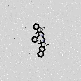 CN1/C(=C/C=C/C2=[N+](C)c3ccccc3C2(C)Cc2ccccc2)C(C)(C)c2cc3ccccc3cc21